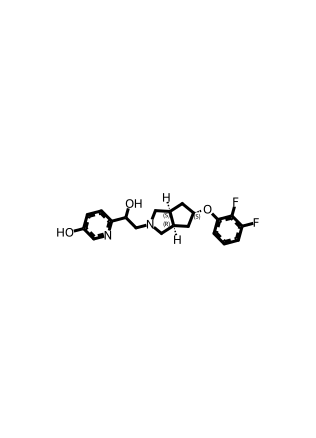 Oc1ccc(C(O)CN2C[C@H]3C[C@H](Oc4cccc(F)c4F)C[C@H]3C2)nc1